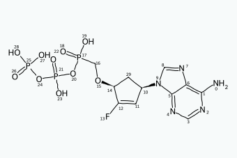 Nc1ncnc2c1ncn2[C@H]1C=C(F)[C@@H](OCP(=O)(O)OP(=O)(O)OP(=O)(O)O)C1